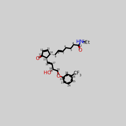 CCNC(=O)CCCC=CC[C@H]1C=CC(=O)[C@@H]1C=C[C@@H](O)COc1cccc(C(F)(F)F)c1